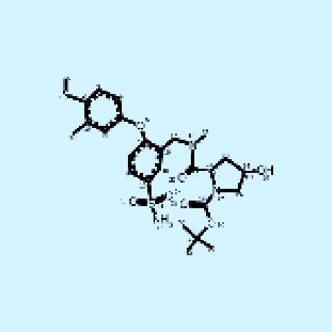 CSc1ccc(Oc2ccc(S(N)(=O)=O)cc2CN(C)C(=O)[C@H]2C[C@@H](O)CN2C(=O)OC(C)(C)C)cc1C